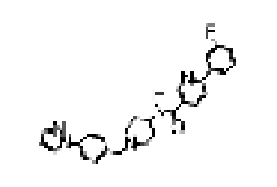 O=C(NC1CCN(Cc2ccc(-n3cccn3)cc2)CC1)c1ccc(-c2cccc(F)c2)nc1